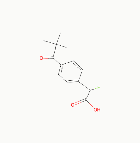 CC(C)(C)C(=O)c1ccc(C(F)C(=O)O)cc1